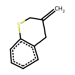 C=C1CSc2ccccc2C1